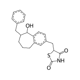 O=C1NC(=O)C(Cc2ccc3c(c2)CCCC(Cc2ccccc2)C3O)S1